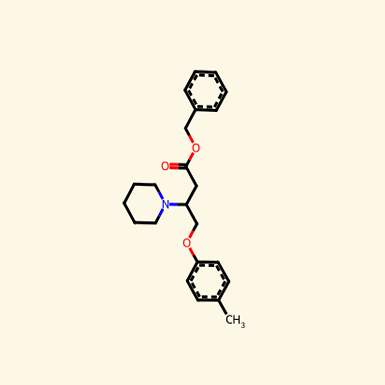 Cc1ccc(OCC(CC(=O)OCc2ccccc2)N2CCCCC2)cc1